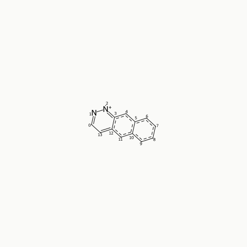 C1=N[N+]=c2cc3ccccc3cc2=C1